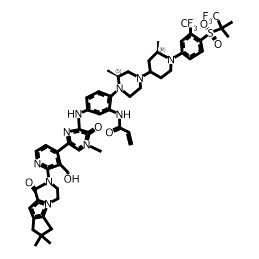 C=CC(=O)Nc1cc(Nc2nc(-c3ccnc(N4CCn5c(cc6c5CC(C)(C)C6)C4=O)c3CO)cn(C)c2=O)ccc1N1CCN(C2CCN(c3ccc(S(=O)(=O)C(C)(C)C(F)(F)F)c(C(F)(F)F)c3)[C@H](C)C2)C[C@@H]1C